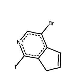 Brc1cnc(I)c2c1C=CC2